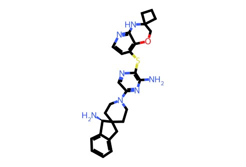 Nc1nc(N2CCC3(CC2)Cc2ccccc2[C@H]3N)cnc1Sc1ccnc2c1OCC1(CCC1)N2